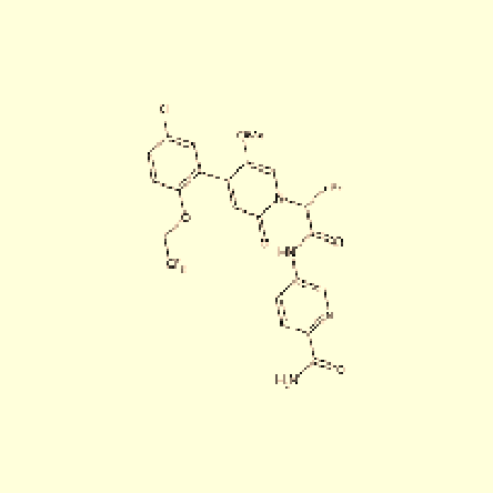 CCCC(C(=O)Nc1ccc(C(N)=O)nc1)n1cc(OC)c(-c2cc(Cl)ccc2OCC(F)(F)F)cc1=O